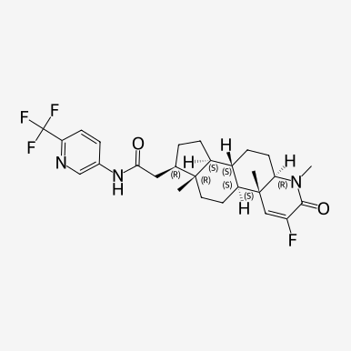 CN1C(=O)C(F)=C[C@]2(C)[C@H]3CC[C@]4(C)[C@@H](CC(=O)Nc5ccc(C(F)(F)F)nc5)CC[C@H]4[C@@H]3CC[C@@H]12